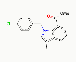 COC(=O)c1cccc2c(C)cn(Cc3ccc(Cl)cc3)c12